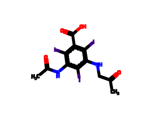 CC(=O)CNc1c(I)c(NC(C)=O)c(I)c(C(=O)O)c1I